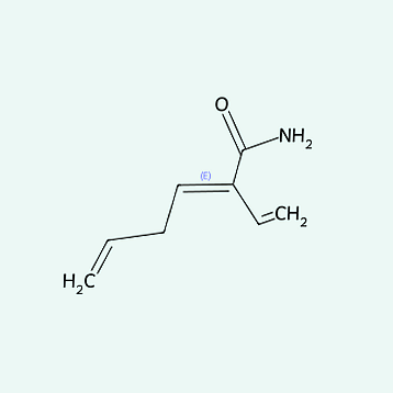 C=CC/C=C(\C=C)C(N)=O